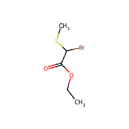 CCOC(=O)C(Br)SC